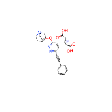 C(#Cc1ccc(OC2CN3CCC2CC3)nn1)c1ccccc1.O=C(O)/C=C/C(=O)O